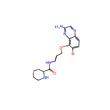 Nc1cnc2ccc(Br)c(OCCCNC(=O)C3CCCCN3)c2n1